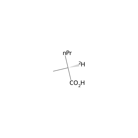 [2H][C@](C)(CCC)C(=O)O